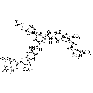 O=C(O)CC[C@H](NC(=O)NC(Cc1ccc(NC(=O)c2cc(C(=O)Nc3ccc(CC(NC(=O)N[C@@H](CCC(=O)O)C(=O)O)C(=O)O)cc3)cc(-n3cc(CCCF)nn3)c2)cc1)C(=O)O)C(=O)O